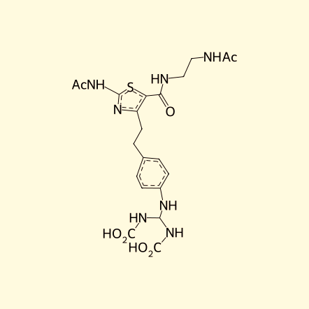 CC(=O)NCCNC(=O)c1sc(NC(C)=O)nc1CCc1ccc(NC(NC(=O)O)NC(=O)O)cc1